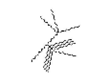 CCCCCCCCCCC(CCCCCCC(CCCCCCCCCC)(CCCCCCCCCC)CCCCCCCCCC)C(CCCCCCCCCC)(CCCCCCCCCC)C(CCCCCCCCCC)(CCCCCCCCCC)[N+](CCCCCCCCCC)(CCCCCCCCCC)CCCCCCCCCC